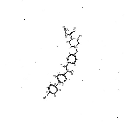 C[C@H]1CN(Cc2ccc(N(C)C(=O)c3cnc(-c4ccc(F)cc4)nc3)cc2)CCN1C(=O)OC(C)(C)C